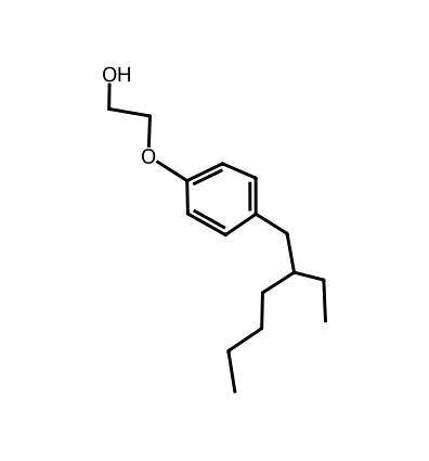 CCCCC(CC)Cc1ccc(OCCO)cc1